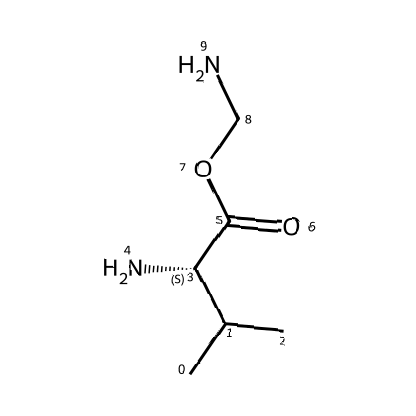 CC(C)[C@H](N)C(=O)OCN